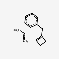 C1=C(Cc2ccccc2)CC1.C=CC(=O)O